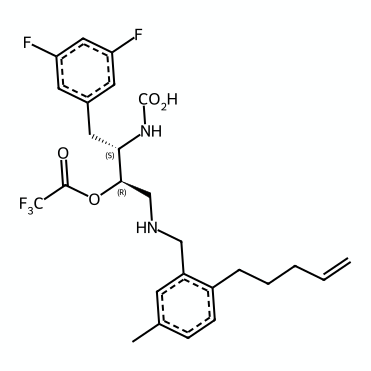 C=CCCCc1ccc(C)cc1CNC[C@@H](OC(=O)C(F)(F)F)[C@H](Cc1cc(F)cc(F)c1)NC(=O)O